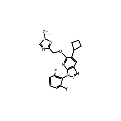 Cn1cnc(COc2nc3c(cc2C2CCC2)nnn3-c2c(F)cccc2F)n1